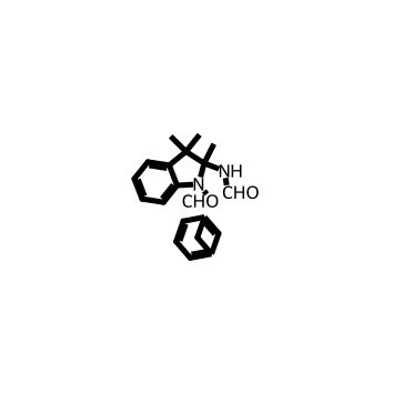 CC1(C)c2ccccc2N(C=O)C1(C)NC=O.c1cc2cc(c1)C2